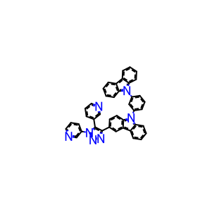 c1cncc(-c2c(-c3ccc4c(c3)c3ccccc3n4-c3cccc(-n4c5ccccc5c5ccccc54)c3)nnn2-c2cccnc2)c1